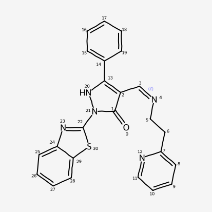 O=c1c(/C=N\CCc2ccccn2)c(-c2ccccc2)[nH]n1-c1nc2ccccc2s1